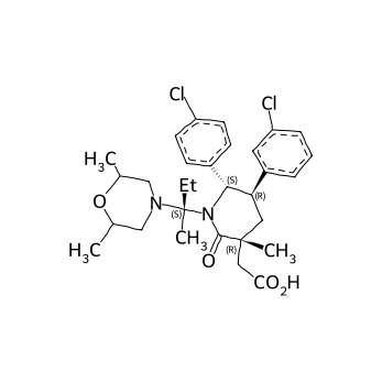 CC[C@@](C)(N1CC(C)OC(C)C1)N1C(=O)[C@@](C)(CC(=O)O)C[C@H](c2cccc(Cl)c2)[C@H]1c1ccc(Cl)cc1